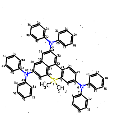 CS1(C)c2cc(N(c3ccccc3)c3ccccc3)ccc2-c2cc(N(c3ccccc3)c3ccccc3)cc3cc(N(c4ccccc4)c4ccccc4)cc1c23